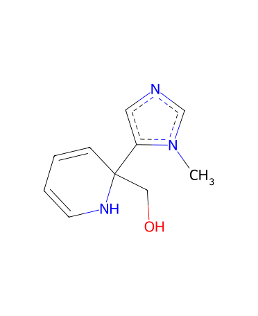 Cn1cncc1C1(CO)C=CC=CN1